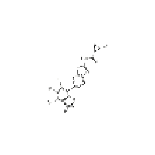 N#Cc1c(F)c(Cl)c(-c2ccn3nc(NC(=O)[C@@H]4C[C@@H]4F)cc3c2)c2cn[nH]c12